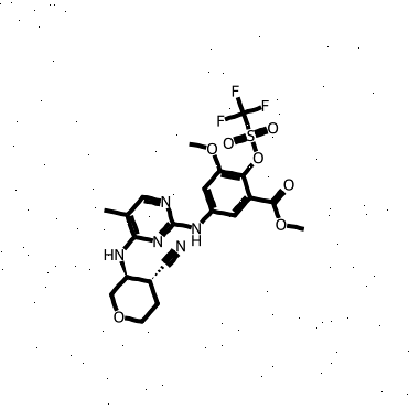 COC(=O)c1cc(Nc2ncc(C)c(N[C@@H]3COCC[C@H]3C#N)n2)cc(OC)c1OS(=O)(=O)C(F)(F)F